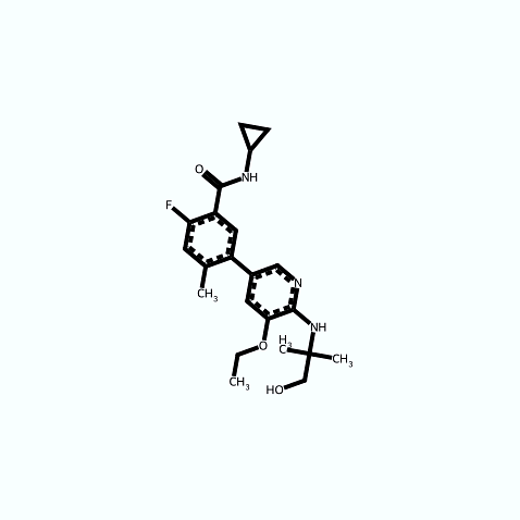 CCOc1cc(-c2cc(C(=O)NC3CC3)c(F)cc2C)cnc1NC(C)(C)CO